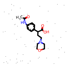 CC(=O)Nc1ccc(C(CCN2CCOCC2)C(=O)O)cc1